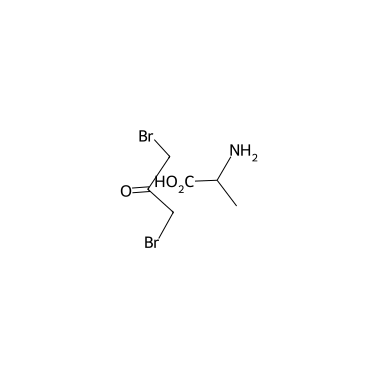 CC(N)C(=O)O.O=C(CBr)CBr